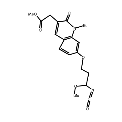 CCn1c(=O)c(CC(=O)OC)cc2ccc(OCCC(N=C=O)OC(C)(C)C)cc21